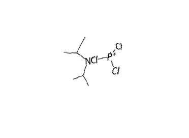 CC(C)[N-]C(C)C.Cl[P+](Cl)Cl